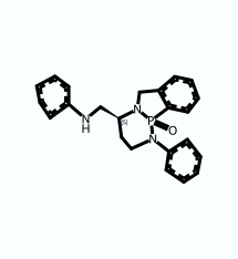 O=P12c3ccccc3CN1[C@H](CNc1ccccc1)CCN2c1ccccc1